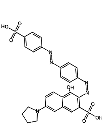 O=S(=O)(O)c1ccc(N=Nc2ccc(/N=N\c3c(S(=O)(=O)O)cc4cc(N5CCCC5)ccc4c3O)cc2)cc1